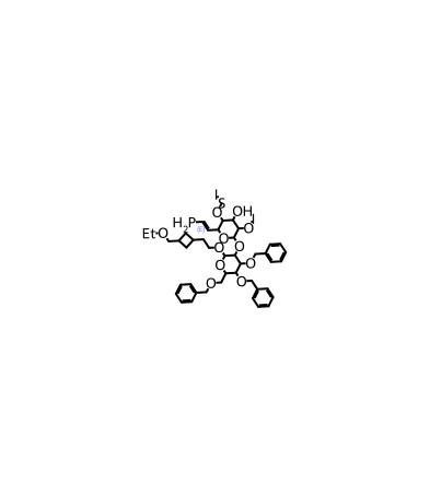 CCOCC1CC(CCOC2OC(COCc3ccccc3)C(OCc3ccccc3)C(OCc3ccccc3)C2OC2OC(/C=C/P)C(OSI)C(O)C2OI)C1